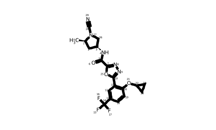 C[C@@H]1C[C@@H](NC(=O)c2nnc(-c3cc(C(F)(F)F)ccc3OC3CC3)o2)CN1C#N